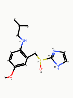 COc1ccc(NCC(C)C)c(C[S+]([O-])c2ncc[nH]2)c1